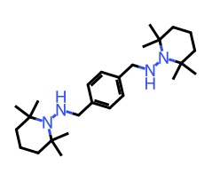 CC1(C)CCCC(C)(C)N1NCc1ccc(CNN2C(C)(C)CCCC2(C)C)cc1